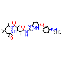 CC(CC(C)C(=O)N1NC2(COC2)CC(C)(C)CC1C)C(=O)Nc1cn2nc(Oc3cccc(NC=O)c3)ccc2n1